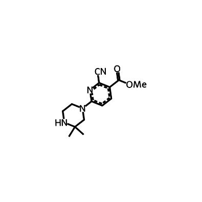 COC(=O)c1ccc(N2CCNC(C)(C)C2)nc1C#N